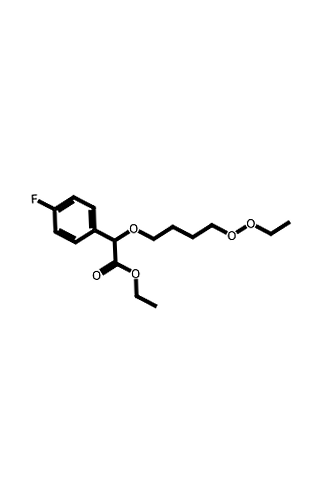 CCOOCCCCOC(C(=O)OCC)c1ccc(F)cc1